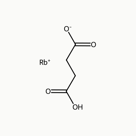 O=C([O-])CCC(=O)O.[Rb+]